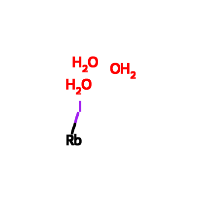 O.O.O.[Rb][I]